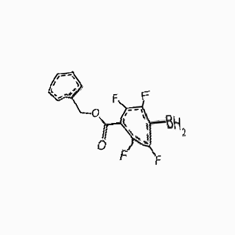 Bc1c(F)c(F)c(C(=O)OCc2ccccc2)c(F)c1F